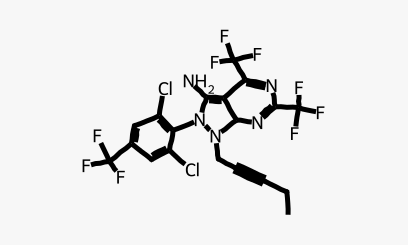 CCC#CCN1C2N=C(C(F)(F)F)N=C(C(F)(F)F)C2=C(N)N1c1c(Cl)cc(C(F)(F)F)cc1Cl